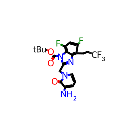 CC(C)(C)OC(=O)n1c(Cn2cccc(N)c2=O)nc2c(CCC(F)(F)F)c(F)cc(F)c21